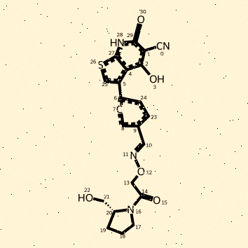 N#Cc1c(O)c2c(-c3ccc(/C=N/OCC(=O)N4CCC[C@@H]4CO)cc3)csc2[nH]c1=O